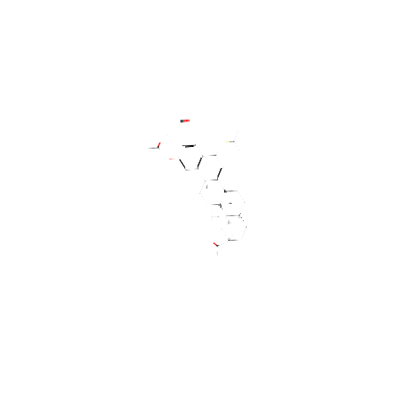 CC(=O)Oc1cc2c(c(C)c1OC(C)=O)C(SC(C)C)C=C1[C@@]2(C)CC[C@@]2(C)[C@@H]3C[C@](C)(C(=O)O)CC[C@]3(C)CC[C@]12C